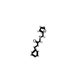 O=C(CCc1ccccc1)CSCc1ccco1